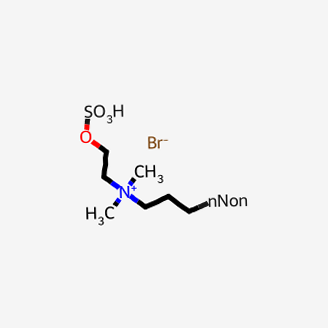 CCCCCCCCCCCC[N+](C)(C)CCOS(=O)(=O)O.[Br-]